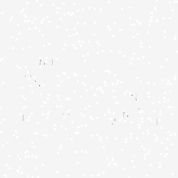 COCc1nc2c(Cl)cccn2c1Cc1ccc2c(c1)COc1cc(F)ccc1C2=C(C)c1noc(=O)[nH]1